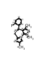 Cc1cn2c(n1)CN=C(c1ccccc1F)c1c(C)nn(C)c1-2